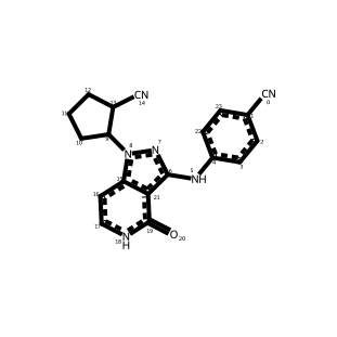 N#Cc1ccc(Nc2nn(C3CCCC3C#N)c3cc[nH]c(=O)c23)cc1